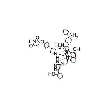 Nc1nnc(-c2ccccc2O)cc1N1CCC(c2ccccc2)(N(C(=O)CCCN2CCC(c3ccc(OC4CCC(=O)NC4=O)cc3)CC2)c2cccc(O)c2-c2cc(N3CCC(N)(c4ccccc4)CC3)c(N)nn2)CC1